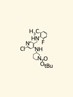 Cc1cccc(F)c1NCc1cnc(Cl)cc1N[C@@H]1CCCN(C(=O)OC(C)(C)C)C1